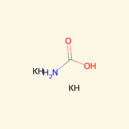 NC(=O)O.[KH].[KH]